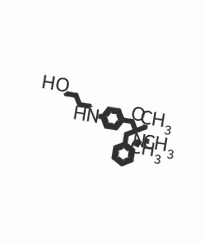 CCC(Cc1ccccc1)(C(=O)c1ccc(NCCCCO)cc1)N(C)C